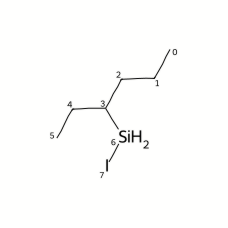 CCCC(CC)[SiH2]I